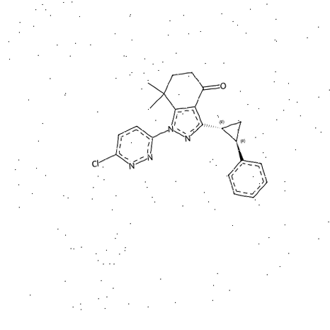 CC1(C)CCC(=O)c2c([C@@H]3C[C@H]3c3ccccc3)nn(-c3ccc(Cl)nn3)c21